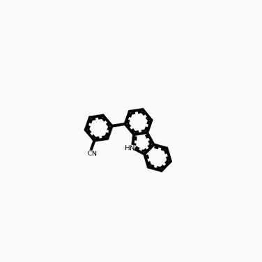 N#Cc1cccc(-c2cccc3c2[nH]c2ccccc23)c1